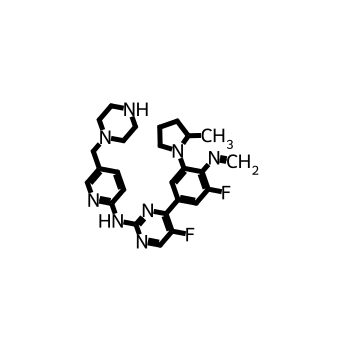 C=Nc1c(F)cc(-c2nc(Nc3ccc(CN4CCNCC4)cn3)ncc2F)cc1N1CCCC1C